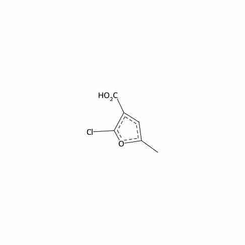 Cc1cc(C(=O)O)c(Cl)o1